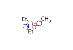 CCC1CC2C=CC1N([C@@H](CC)Cc1coc3ccc(C)cc13)C2